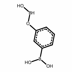 OBOc1cccc(B(O)O)c1